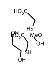 COO.O=C(O)CS.O=C(O)CS.OCCO